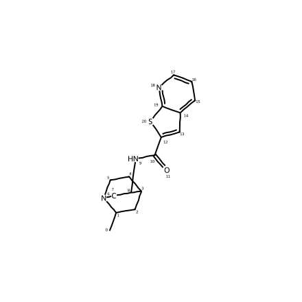 CC1CC2CCN1CC2NC(=O)c1cc2cccnc2s1